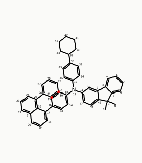 CC1(C)c2ccccc2-c2cc(N(c3ccc(-c4cccc5cccc(-c6ccccc6)c45)cc3)c3ccc(C4CCCCC4)cc3)ccc21